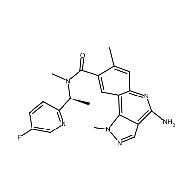 Cc1cc2nc(N)c3cnn(C)c3c2cc1C(=O)N(C)[C@@H](C)c1ccc(F)cn1